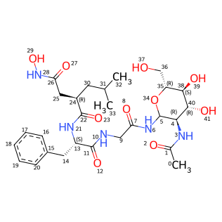 CC(=O)N[C@H]1C(NC(=O)CNC(=O)[C@H](Cc2ccccc2)NC(=O)[C@@H](CC(=O)NO)CC(C)C)O[C@H](CO)[C@@H](O)[C@@H]1O